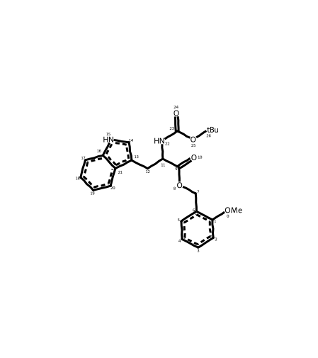 COc1ccccc1COC(=O)C(Cc1c[nH]c2ccccc12)NC(=O)OC(C)(C)C